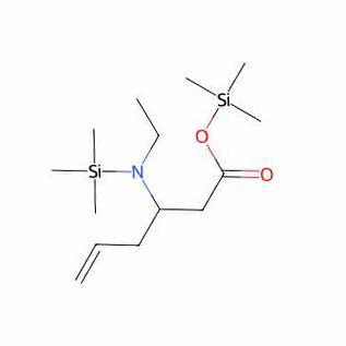 C=CCC(CC(=O)O[Si](C)(C)C)N(CC)[Si](C)(C)C